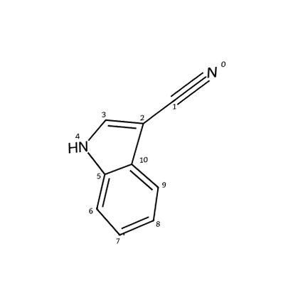 N#Cc1c[nH]c2c[c]ccc12